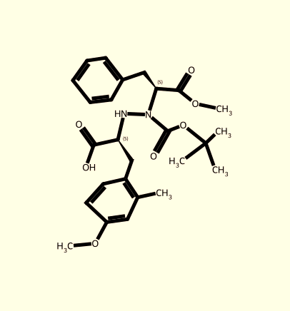 COC(=O)[C@H](Cc1ccccc1)N(N[C@@H](Cc1ccc(OC)cc1C)C(=O)O)C(=O)OC(C)(C)C